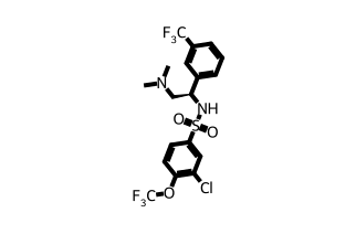 CN(C)C[C@H](NS(=O)(=O)c1ccc(OC(F)(F)F)c(Cl)c1)c1cccc(C(F)(F)F)c1